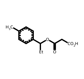 CCC(OC(=O)CC(=O)O)c1ccc(C)cc1